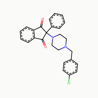 O=C1c2ccccc2C(=O)C1(c1ccccc1)N1CCN(Cc2ccc(Cl)cc2)CC1